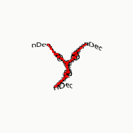 CCCCCCCCCCCCCCCCCCc1ccc(OC(=O)CCCCCOP(=S)(SCCCCCC(=O)Oc2ccc(CCCCCCCCCCCCCCCCCC)cc2)SCCCCCC(=O)Oc2ccc(CCCCCCCCCCCCCCCCCC)cc2)cc1